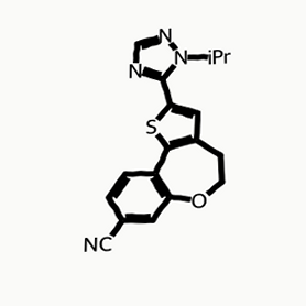 CC(C)n1ncnc1-c1cc2c(s1)-c1ccc(C#N)cc1OCC2